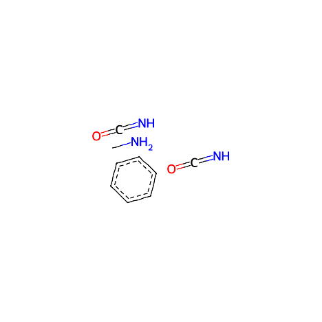 CN.N=C=O.N=C=O.c1ccccc1